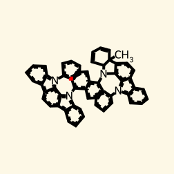 CC12C=CC=CC1N(c1cccc3c(-n4c5ccccc5c5ccc6c7ccccc7n(-c7ccccc7)c6c54)cccc13)c1c2ccc2c3ccccc3n(-c3ccccc3)c12